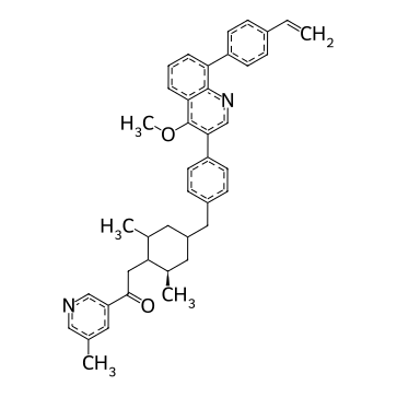 C=Cc1ccc(-c2cccc3c(OC)c(-c4ccc(CC5CC(C)C(CC(=O)c6cncc(C)c6)[C@H](C)C5)cc4)cnc23)cc1